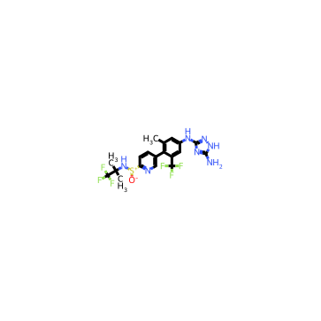 Cc1cc(Nc2n[nH]c(N)n2)cc(C(F)(F)F)c1-c1ccc([S+]([O-])NC(C)(C)C(F)(F)F)nc1